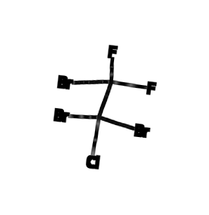 FC(F)(Br)C(Cl)(Br)Br